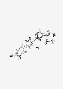 CCCc1ccc(-c2cc(F)c(-c3ccc(C4=CCCC4)s3)c(F)c2)cc1